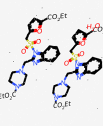 CCOC(=O)c1ccc(CS(=O)(=O)n2c(CN3CCN(C(=O)OCC)CC3)nc3ccccc32)o1.CCOC(=O)c1ccc(CS(=O)(=O)n2c(CN3CCN(C(=O)OCC)CC3)nc3ccccc32)o1.O